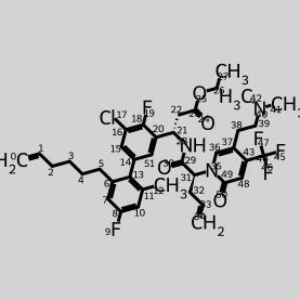 C=CCCCCc1cc(F)cc(C)c1-c1cc(Cl)c(F)c([C@H](CC(=O)OCC)NC(=O)[C@H](CC=C)n2cc(CCN(C)C)c(C(F)(F)F)cc2=O)c1